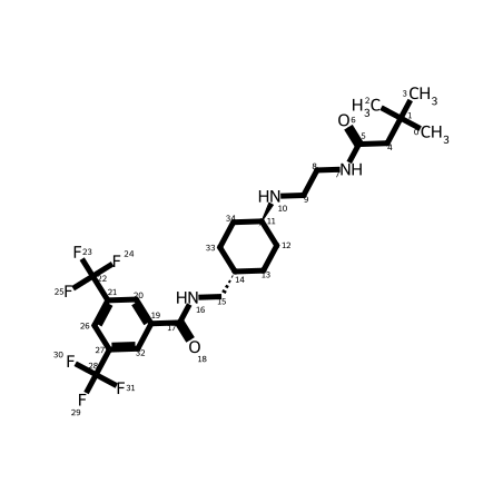 CC(C)(C)CC(=O)NCCN[C@H]1CC[C@H](CNC(=O)c2cc(C(F)(F)F)cc(C(F)(F)F)c2)CC1